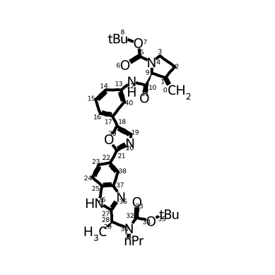 C=C1CCN(C(=O)OC(C)(C)C)[C@@H]1C(=O)Nc1cccc(-c2cnc(-c3ccc4[nH]c([C@H](C)N(CCC)C(=O)OC(C)(C)C)nc4c3)o2)c1